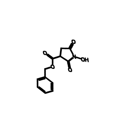 O=C(OCc1ccccc1)C1CC(=O)N(O)C1=O